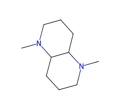 CN1CCCC2C1CCCN2C